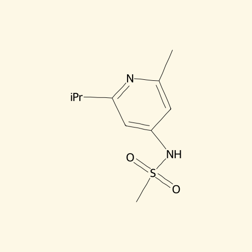 Cc1cc(NS(C)(=O)=O)cc(C(C)C)n1